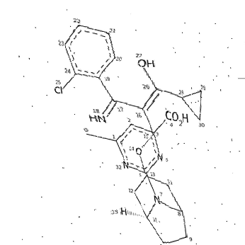 Cc1cc(C(=O)O)nc(N2C3CC[C@H]2CC(OC/C(C(=N)c2ccccc2Cl)=C(/O)C2CC2)C3)n1